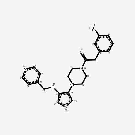 O=C(Cc1cccc(C(F)(F)F)c1)N1CCN(c2nsnc2OCc2ccncc2)CC1